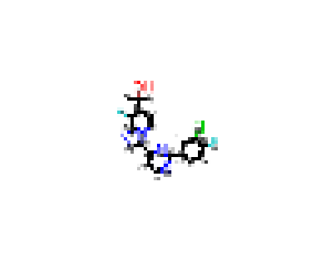 CC(C)(O)c1ccn2c(-c3ccnc(-c4ccc(F)c(Cl)c4)n3)cnc2c1F